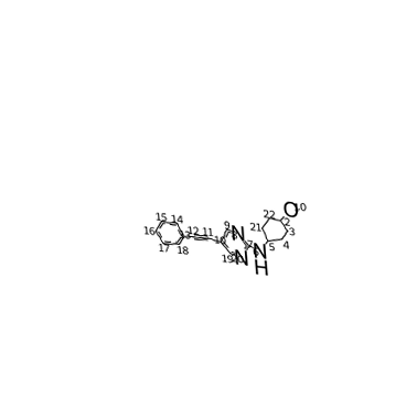 COC1CCC(Nc2ncc(C#Cc3ccccc3)cn2)CC1